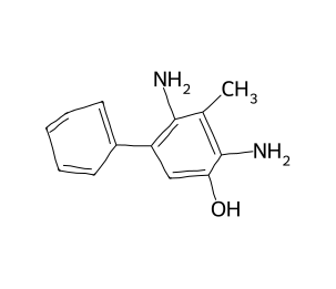 Cc1c(N)c(O)cc(-c2ccccc2)c1N